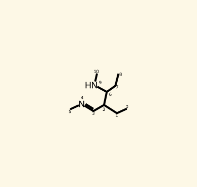 CCC(/C=N/C)C(CC)NC